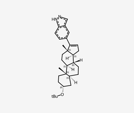 CC(C)(C)O[C@@H]1CC[C@@]2(C)[C@@H](CC[C@@H]3[C@@H]2CC[C@]2(C)C(c4ccc5[nH]ncc5c4)=CC[C@@H]32)C1